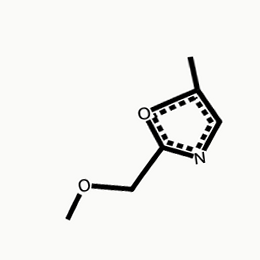 COCc1ncc(C)o1